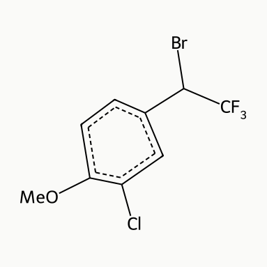 COc1ccc(C(Br)C(F)(F)F)cc1Cl